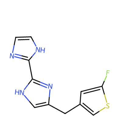 Fc1cc(Cc2c[nH]c(-c3ncc[nH]3)n2)cs1